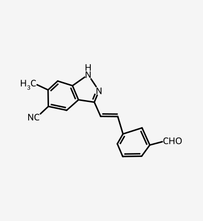 Cc1cc2[nH]nc(/C=C/c3cccc(C=O)c3)c2cc1C#N